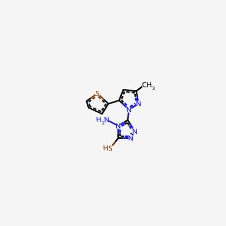 Cc1cc(-c2cccs2)n(-c2nnc(S)n2N)n1